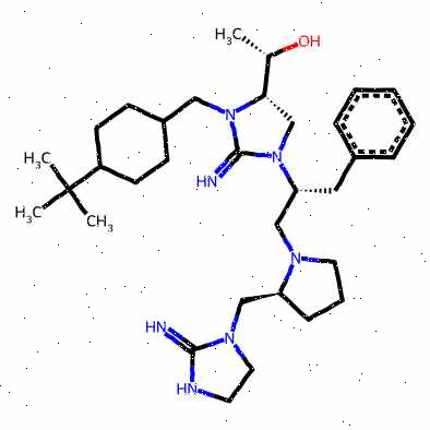 C[C@H](O)[C@@H]1CN([C@H](Cc2ccccc2)CN2CCC[C@H]2CN2CCNC2=N)C(=N)N1CC1CCC(C(C)(C)C)CC1